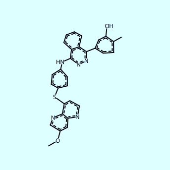 COc1cnc2c(Sc3ccc(Nc4nnc(-c5ccc(C)c(O)c5)c5ccccc45)cc3)ccnc2c1